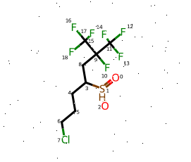 O=[SH](=O)C(CCCCl)CC(F)(C(F)(F)F)C(F)(F)F